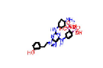 NC1CCC(Nc2nc(Nc3ccc(P(=O)(O)O)c(P(=O)(O)O)c3)c3ncn(CCc4cccc(O)c4)c3n2)CC1